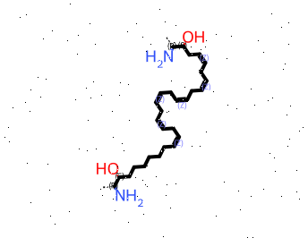 C[C@@H](N)[C@@H](O)C/C=C\C/C=C\C/C=C\C/C=C\C/C=C\C/C=C\CCCCCC[C@H](O)[C@@H](C)N